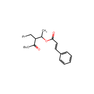 CC(C)COC(=O)C(CC(C)C)C(C)OC(=O)C=Cc1ccccc1